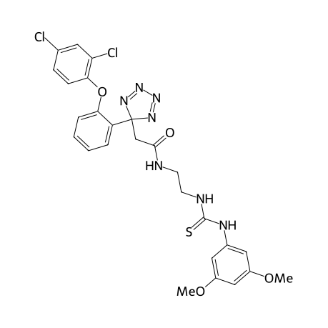 COc1cc(NC(=S)NCCNC(=O)CC2(c3ccccc3Oc3ccc(Cl)cc3Cl)N=NN=N2)cc(OC)c1